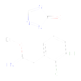 CCOC(=N)Cc1ccccc1Cl.Cl.O=C1N=CN=N1